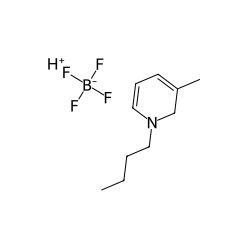 CCCCN1C=CC=C(C)C1.F[B-](F)(F)F.[H+]